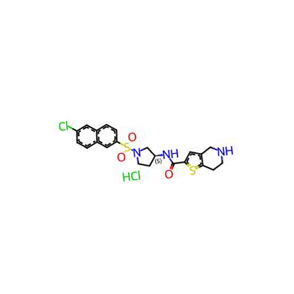 Cl.O=C(N[C@H]1CCN(S(=O)(=O)c2ccc3cc(Cl)ccc3c2)C1)c1cc2c(s1)CCNC2